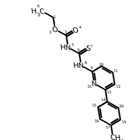 CCOC(=O)NC(=S)Nc1cccc(-c2ccc(C)cc2)n1